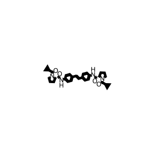 O=C(Nc1ccc(/C=C/c2ccc(NC(=O)[C@@H]3CCCN3C(=O)C3CC3)cc2)cc1)[C@@H]1CCCN1C(=O)C1CC1